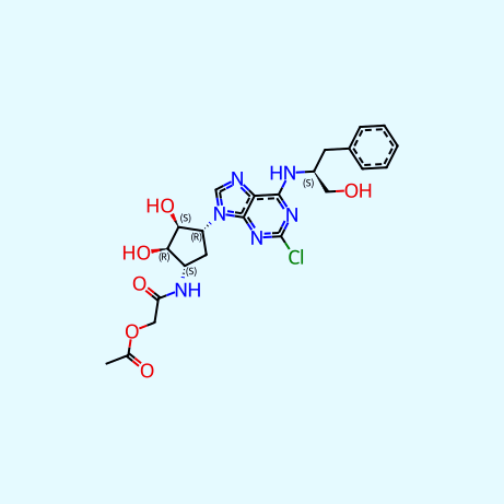 CC(=O)OCC(=O)N[C@H]1C[C@@H](n2cnc3c(N[C@H](CO)Cc4ccccc4)nc(Cl)nc32)[C@H](O)[C@@H]1O